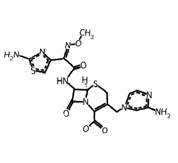 CO/N=C(\C(=O)NC1C(=O)N2C(C(=O)[O-])=C(C[n+]3ccnc(N)c3)CS[C@H]12)c1csc(N)n1